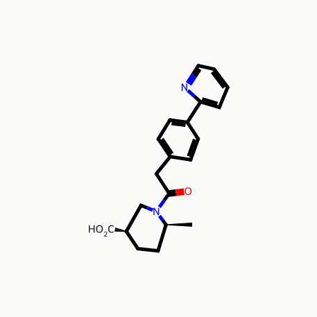 C[C@H]1CC[C@@H](C(=O)O)CN1C(=O)Cc1ccc(-c2ccccn2)cc1